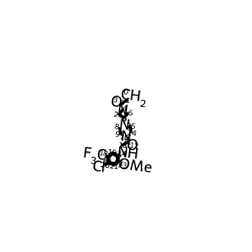 C=CC(=O)N1CC(N2CCN(C(=O)CNc3cc(C(F)(F)F)c(Cl)cc3OC)CC2)C1